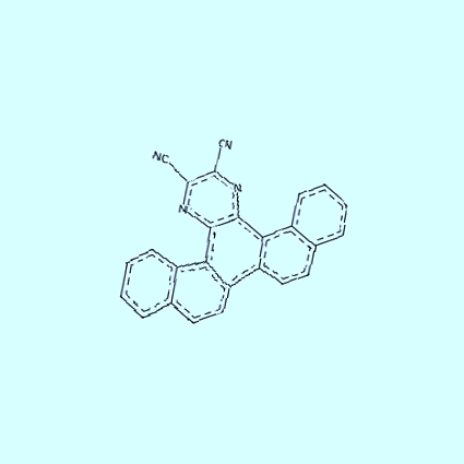 N#Cc1nc2c(nc1C#N)c1c3ccccc3ccc1c1ccc3ccccc3c12